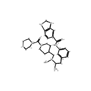 CCCN(CC1CCN(C(=O)N2CCOCC2)CC1)C(C)Cc1cccc(NC(=O)c2ccc3c(c2)OCO3)c1